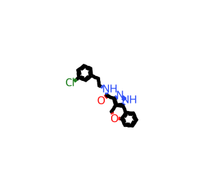 O=C(NCCc1cccc(Cl)c1)c1n[nH]c2c1COc1ccccc1-2